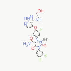 CC(CO)Nc1n[nH]c2nccc(Oc3ccc(N4[C@@H](C(N)=O)C(=O)N(c5ccc(F)c(F)c5)C(=O)N4C(C)C)cc3F)c12